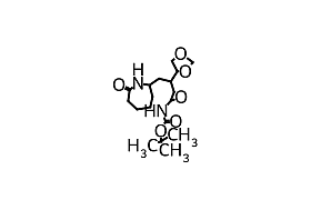 CC(C)(C)OC(=O)NC1OC1C(CC1CCCCC(=O)N1)C1COCO1